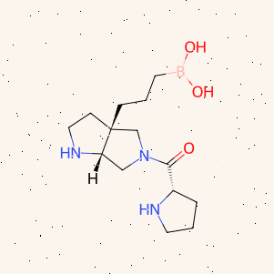 O=C([C@@H]1CCCN1)N1C[C@@H]2NCC[C@]2(CCCB(O)O)C1